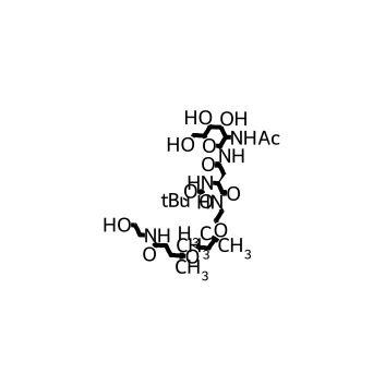 CC(=O)NC1C(NC(=O)C[C@H](NC(=O)OC(C)(C)C)C(=O)NCCOC(C)(C)CCOC(C)(C)CCC(=O)NCCO)OC(CO)C(O)C1O